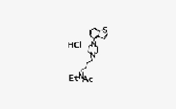 CCN(CCCCN1CCN(c2cccc3sccc23)CC1)C(C)=O.Cl